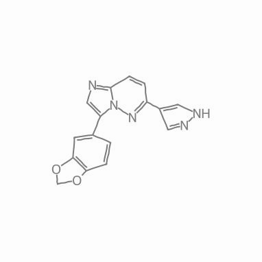 c1n[nH]cc1-c1ccc2ncc(-c3ccc4c(c3)OCO4)n2n1